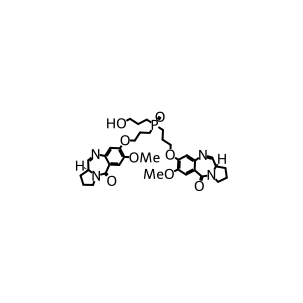 COc1cc2c(cc1OCCCP(=O)(CCCO)CCCOc1cc3c(cc1OC)C(=O)N1CCC[C@H]1C=N3)N=C[C@@H]1CCCN1C2=O